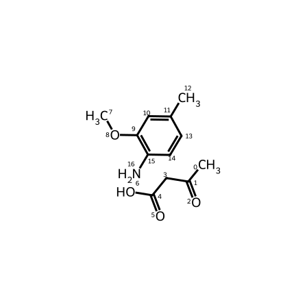 CC(=O)CC(=O)O.COc1cc(C)ccc1N